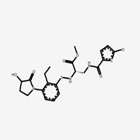 CCc1c(SN[C@@H](CNC(=O)c2ccc(Cl)s2)C(=O)OC)cccc1N1CCC(O)C1=O